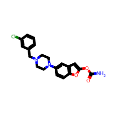 NC(=O)Oc1cc2cc(N3CCN(Cc4cccc(Cl)c4)CC3)ccc2o1